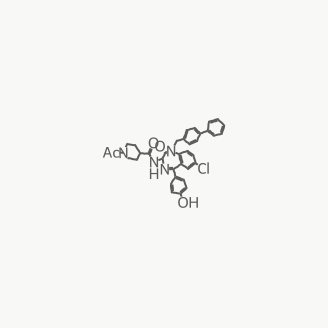 CC(=O)N1CCC(C(=O)NC2N=C(c3ccc(O)cc3)c3cc(Cl)ccc3N(Cc3ccc(-c4ccccc4)cc3)C2=O)CC1